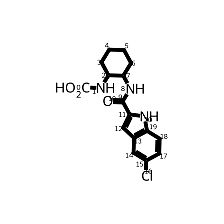 O=C(O)NC1CCCCC1NC(=O)c1cc2cc(Cl)ccc2[nH]1